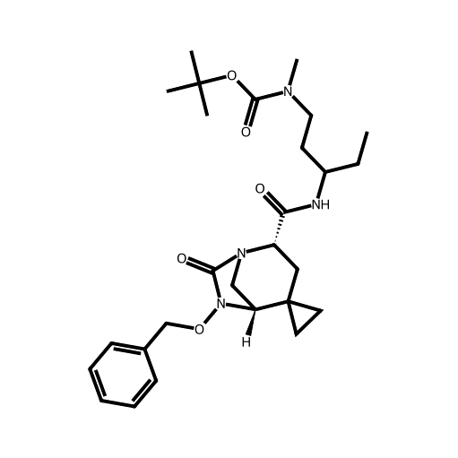 CCC(CCN(C)C(=O)OC(C)(C)C)NC(=O)[C@@H]1CC2(CC2)[C@H]2CN1C(=O)N2OCc1ccccc1